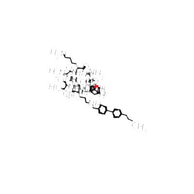 CCCCc1ccc(-c2ccc(CNCCC[C@H](NC(C)=O)C(=O)N[C@H](C(=O)N[C@@H](N)C(=O)N[C@@H](CCCCN)C(=O)N[C@@H](N)B3OC4C[C@@H]5C[C@@H](C5(C)C)[C@]4(C)O3)[C@@H](C)O)cc2)cc1